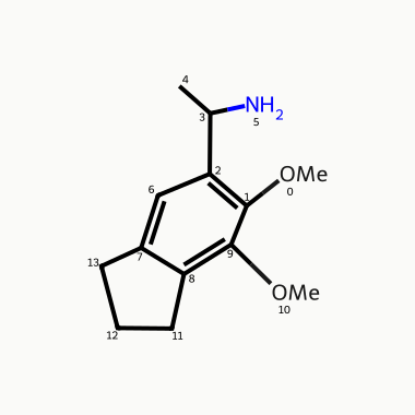 COc1c(C(C)N)cc2c(c1OC)CCC2